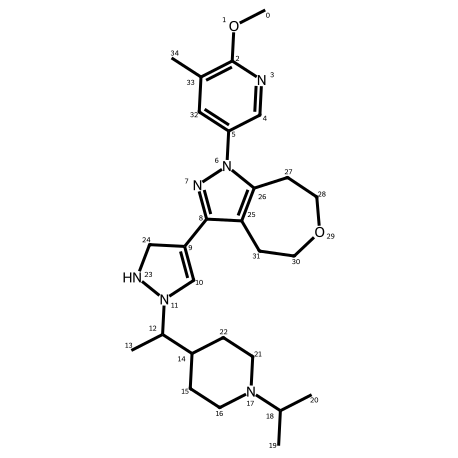 COc1ncc(-n2nc(C3=CN(C(C)C4CCN(C(C)C)CC4)NC3)c3c2CCOCC3)cc1C